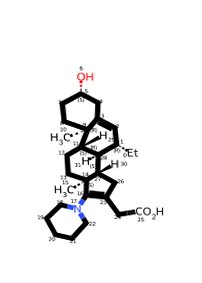 CC[C@H]1C=C2C[C@@H](O)CC[C@]2(C)[C@H]2CC[C@]3(C)C(N4CCCCC4)=C(CC(=O)O)C[C@H]3[C@H]12